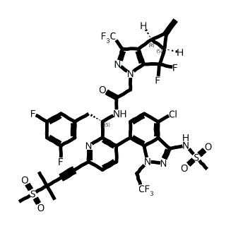 C=C1[C@@H]2c3c(C(F)(F)F)nn(CC(=O)N[C@@H](Cc4cc(F)cc(F)c4)c4nc(C#CC(C)(C)S(C)(=O)=O)ccc4-c4ccc(Cl)c5c(NS(C)(=O)=O)nn(CC(F)(F)F)c45)c3C(F)(F)[C@H]12